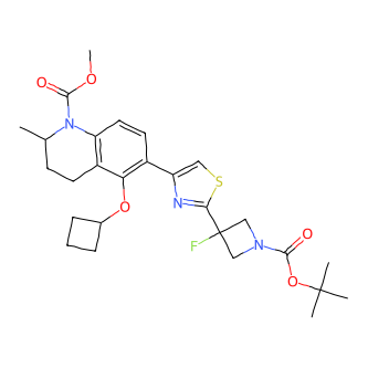 COC(=O)N1c2ccc(-c3csc(C4(F)CN(C(=O)OC(C)(C)C)C4)n3)c(OC3CCC3)c2CCC1C